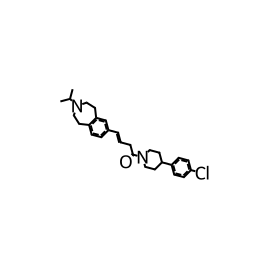 CC(C)N1CCc2ccc(/C=C/CC(=O)N3CCC(c4ccc(Cl)cc4)CC3)cc2CC1